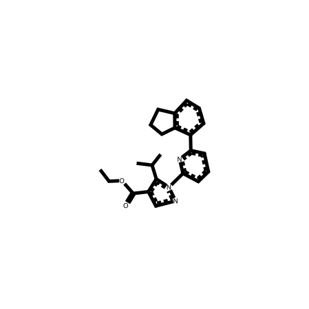 CCOC(=O)c1cnn(-c2cccc(-c3cccc4c3CCC4)n2)c1C(C)C